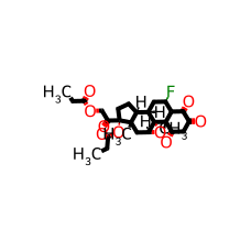 CCC(=O)OCC(=O)[C@@]1(OC(=O)CC)CC[C@H]2[C@@H]3C[C@H](F)C4C(=O)C(=O)CC(=O)[C@]4(C)[C@@]34O[C@H]4C[C@@]21C